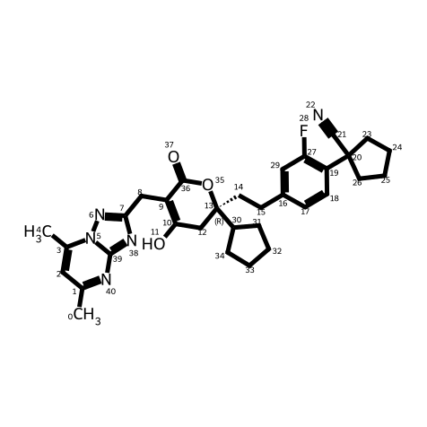 Cc1cc(C)n2nc(CC3=C(O)C[C@](CCc4ccc(C5(C#N)CCCC5)c(F)c4)(C4CCCC4)OC3=O)nc2n1